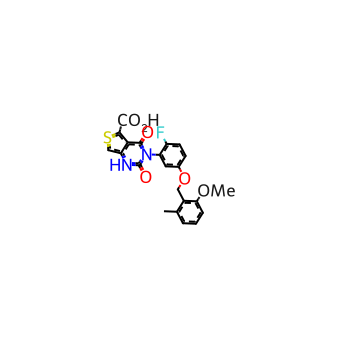 COc1cccc(C)c1COc1ccc(F)c(-n2c(=O)[nH]c3csc(C(=O)O)c3c2=O)c1